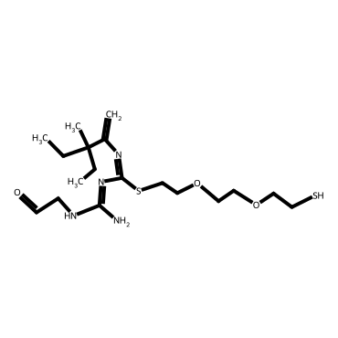 C=C(/N=C(\N=C(/N)NCC=O)SCCOCCOCCS)C(C)(CC)CC